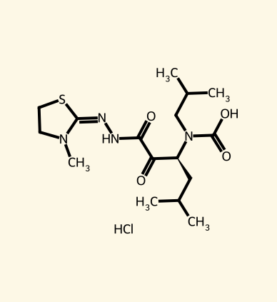 CC(C)C[C@@H](C(=O)C(=O)NN=C1SCCN1C)N(CC(C)C)C(=O)O.Cl